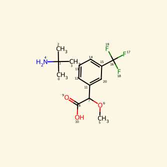 CC(C)(C)N.COC(C(=O)O)c1cccc(C(F)(F)F)c1